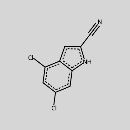 N#Cc1cc2c(Cl)cc(Cl)cc2[nH]1